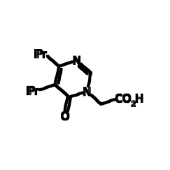 CC(C)c1ncn(CC(=O)O)c(=O)c1C(C)C